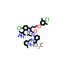 Cc1cccc(Cn2c(C(=O)O)cc3cccc(N4CC(C)n5c(c(CCCOc6cc(C)c(Cl)c(C)c6)c6ccc(Cl)c(-c7c(C)nn(C)c7C)c65)C4=O)c32)n1